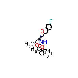 CCC[C@H](/C=C/C(=O)Cc1ccc(F)cc1)NC(=O)OC(C)(C)C